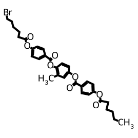 CCCCCC(=O)Oc1ccc(C(=O)Oc2ccc(OC(=O)c3ccc(OC(=O)CCCCCBr)cc3)c(C)c2)cc1